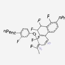 CCCCCc1ccc(OC(F)(F)C(/C=C\C2=CC(F)C(F)c3c2ccc(CCC)c3F)=C(/C)F)cc1F